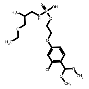 CCOCC(C)CNP(O)(=S)OCCOc1ccc(C(OC)OC)c(Cl)c1